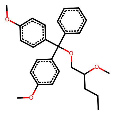 CCCC(COC(c1ccccc1)(c1ccc(OC)cc1)c1ccc(OC)cc1)OC